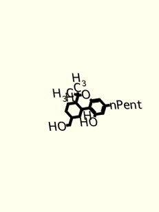 CCCCCc1cc(O)c2c(c1)OC(C)(C)[C@@H]1CCC(CO)C[C@@H]21